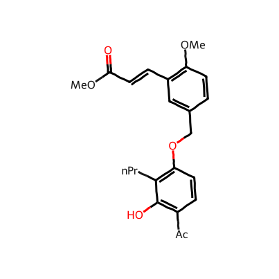 CCCc1c(OCc2ccc(OC)c(C=CC(=O)OC)c2)ccc(C(C)=O)c1O